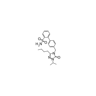 CCCCc1nn(C(C)C)c(=O)n1Cc1ccc(-c2ccccc2S(N)(=O)=O)cc1